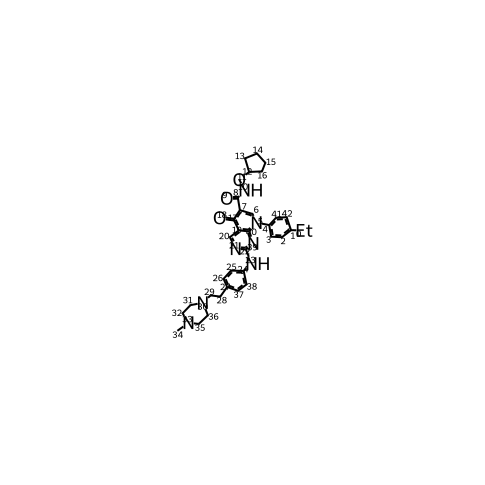 CCc1ccc(-n2cc(C(=O)NOC3CCCC3)c(=O)c3cnc(Nc4ccc(CCN5CCN(C)CC5)cc4)nc32)cc1